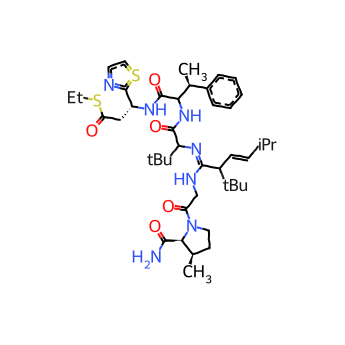 CCSC(=O)C[C@@H](NC(=O)C(NC(=O)C(/N=C(\NCC(=O)N1CC[C@@H](C)[C@H]1C(N)=O)C(/C=C/C(C)C)C(C)(C)C)C(C)(C)C)[C@@H](C)c1ccccc1)c1nccs1